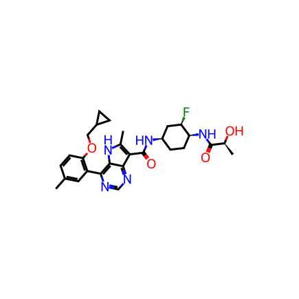 Cc1ccc(OCC2CC2)c(-c2ncnc3c(C(=O)N[C@@H]4CC[C@H](NC(=O)[C@H](C)O)[C@H](F)C4)c(C)[nH]c23)c1